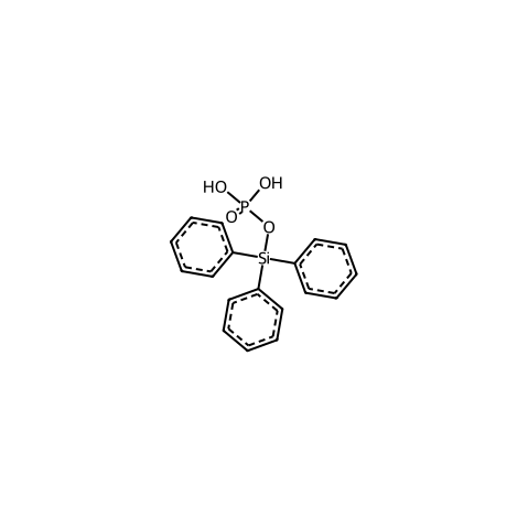 O=P(O)(O)O[Si](c1ccccc1)(c1ccccc1)c1ccccc1